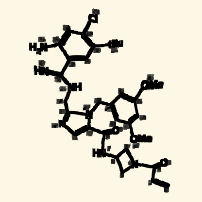 C=CC(=O)N1CC(NC(=O)c2cnc(CNC(=N)c3cc(C(C)(C)C)c(Cl)cc3N)n2Cc2cc(OC)cc(OC)c2)C1